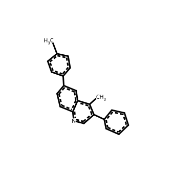 Cc1ccc(-c2ccc3ncc(-c4ccccc4)c(C)c3c2)cc1